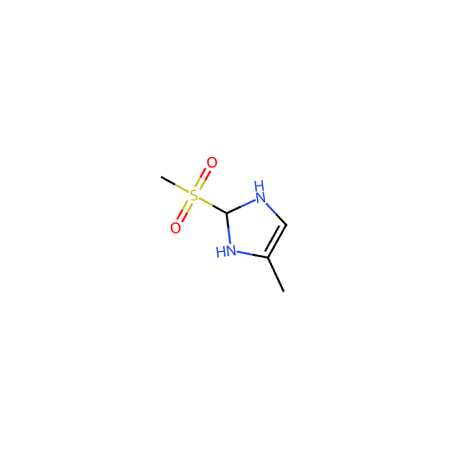 CC1=CNC(S(C)(=O)=O)N1